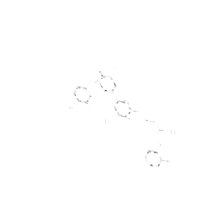 COc1ccc(Cn2cc(-c3cc(C)nc([S+]([O-])CCC(C)OCc4ccccc4F)n3)cc(F)c2=O)cc1F